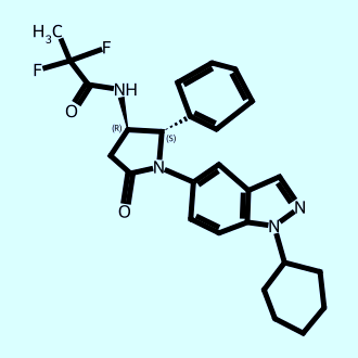 CC(F)(F)C(=O)N[C@@H]1CC(=O)N(c2ccc3c(cnn3C3CCCCC3)c2)[C@H]1c1ccccc1